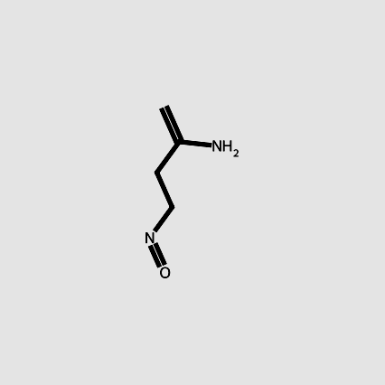 C=C(N)CCN=O